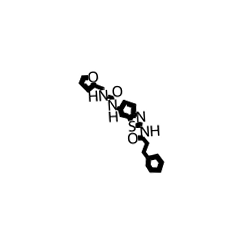 O=C(CCc1ccccc1)Nc1nc2ccc(NC(=O)NCc3ccco3)cc2s1